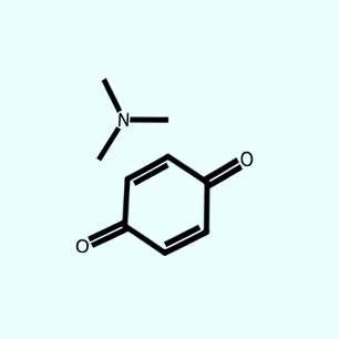 CN(C)C.O=C1C=CC(=O)C=C1